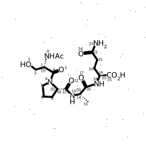 CC(=O)N[C@@H](CO)C(=O)N1CCC[C@H]1C(=O)N[C@@H](C)C(=O)N[C@@H](CCC(N)=O)C(=O)O